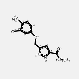 CNC(=O)c1cc(COc2ccc(C)c(Cl)c2)on1